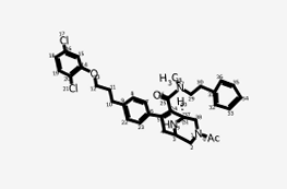 CC(=O)N1CC2CC(c3ccc(CCCOc4cc(Cl)ccc4Cl)cc3)=C(C(=O)N(C)CCc3ccccc3)[C@@H](C1)N2